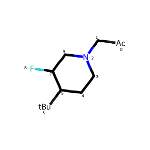 CC(=O)CN1CCC(C(C)(C)C)C(F)C1